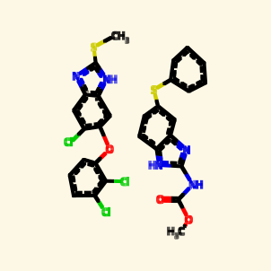 COC(=O)Nc1nc2cc(Sc3ccccc3)ccc2[nH]1.CSc1nc2cc(Cl)c(Oc3cccc(Cl)c3Cl)cc2[nH]1